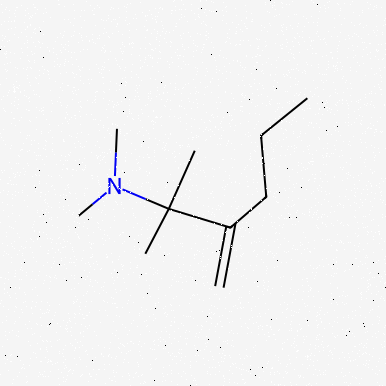 C=C(CCC)C(C)(C)N(C)C